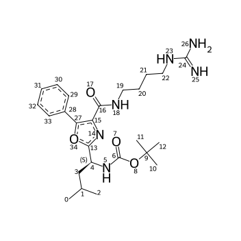 CC(C)C[C@H](NC(=O)OC(C)(C)C)c1nc(C(=O)NCCCCNC(=N)N)c(-c2ccccc2)o1